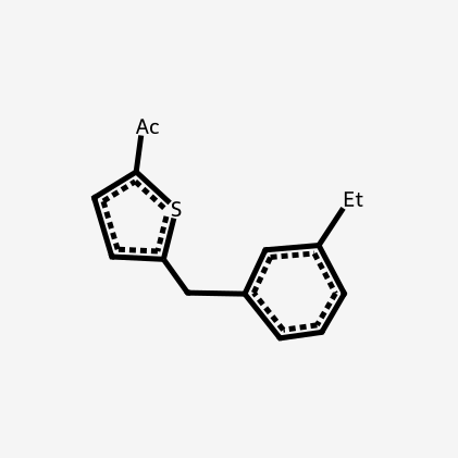 CCc1cccc(Cc2ccc(C(C)=O)s2)c1